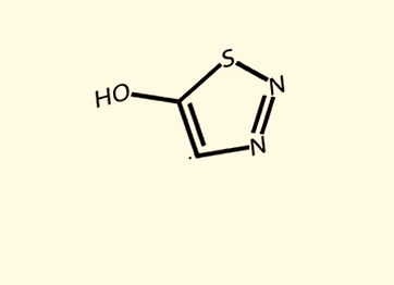 Oc1[c]nns1